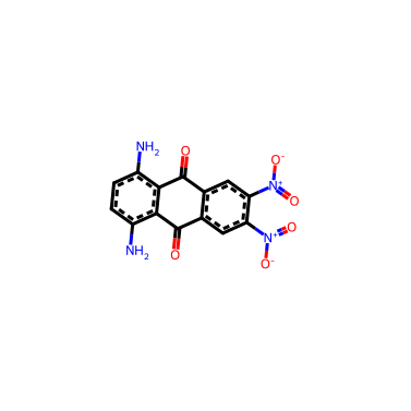 Nc1ccc(N)c2c1C(=O)c1cc([N+](=O)[O-])c([N+](=O)[O-])cc1C2=O